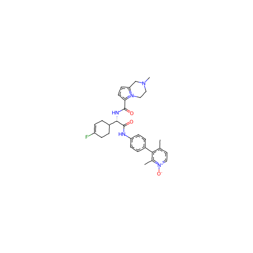 Cc1cc[n+]([O-])c(C)c1-c1ccc(NC(=O)[C@@H](NC(=O)c2ccc3n2CCN(C)C3)C2CC=C(F)CC2)cc1